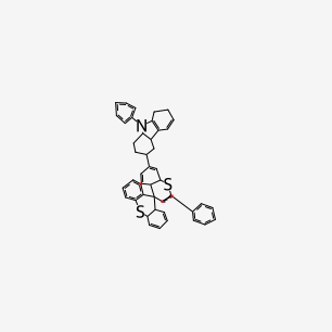 C1=CC2Sc3ccccc3C3(C2C=C1)C1C=CC(c2ccccc2)=CC1SC1C=C(C2CCC4C(C2)C2=C(CCC=C2)N4c2ccccc2)C=CC13